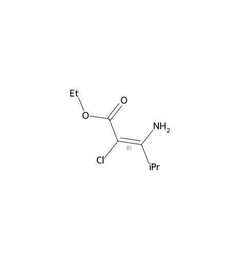 CCOC(=O)/C(Cl)=C(\N)C(C)C